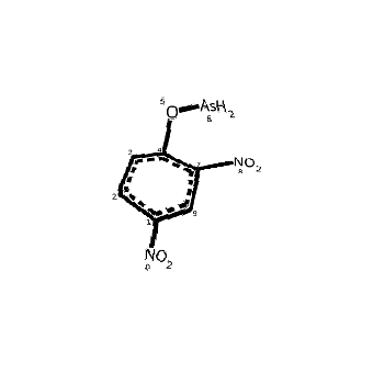 O=[N+]([O-])c1ccc(O[AsH2])c([N+](=O)[O-])c1